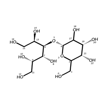 OCC1O[C@H](O[C@@H]([C@H](O)[C@@H](O)CO)[C@H](O)CO)C(O)[C@H](O)[C@@H]1O